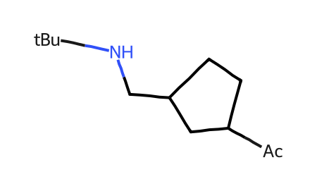 CC(=O)C1CCC(CNC(C)(C)C)C1